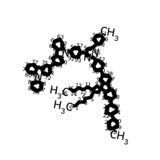 CCCCCCCCC1(CCCCCCCC)c2cc(-c3ccc(-c4ccc(C)cc4)cc3)ccc2-c2ccc(-c3ccc(-c4nc(-c5ccc(C)cc5)cc(-c5ccc(-n6c7ccccc7c7cc(-c8ccc9c(c8)c8ccccc8n9-c8ccccc8)ccc76)cc5)n4)cc3)cc21